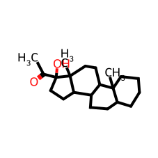 CC(=O)C1(O)CCC2C3CCC4CCCCC4(C)C3CCC21C